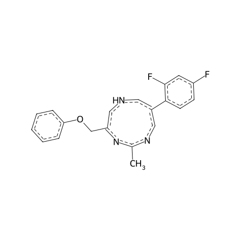 Cc1ncc(-c2ccc(F)cc2F)c[nH]cc(COc2ccccc2)n1